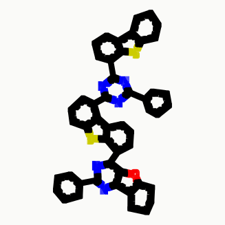 c1ccc(-c2nc(-c3cccc4c3sc3ccccc34)nc(-c3cccc4sc5c(-c6nc(-c7ccccc7)nc7c6oc6ccccc67)cccc5c34)n2)cc1